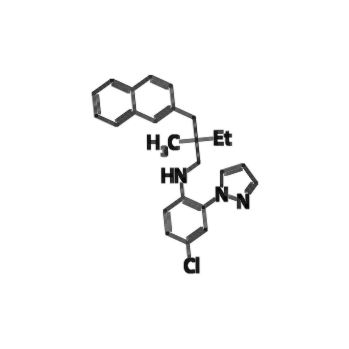 CCC(C)(CNc1ccc(Cl)cc1-n1cccn1)Cc1ccc2ccccc2c1